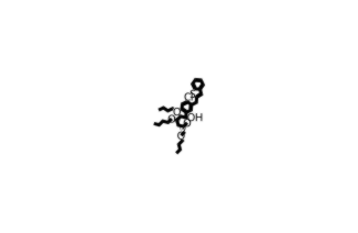 CCCCOC[C@@H]1C[C@H](OCCCC)CC(O)(c2cc(Cc3cc4ccccc4s3)c(Cl)cc2OCCCC)O1